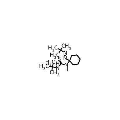 CC(C)(C)N=NC1(NC(=S)NC(C)(C)C)CCCCC1